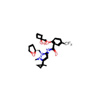 Cn1c(C2(C)CC2)cc(=NC(=O)c2cc(C(F)(F)F)ccc2OCC2(O)CCC2)n1C[C@H]1CCCO1